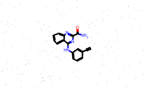 C#Cc1cccc(Nc2nc(C(N)=O)nc3cc[c]cc23)c1